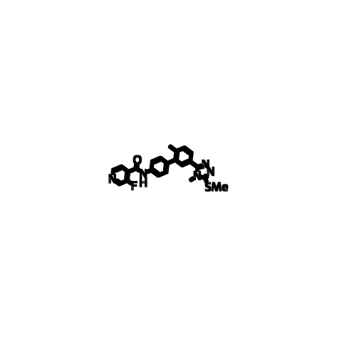 CSc1nnc(-c2ccc(C)c(-c3ccc(NC(=O)c4ccncc4F)cc3)c2)n1C